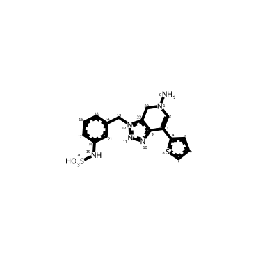 NN1C=C(c2cccs2)c2nnn(Cc3cccc(NS(=O)(=O)O)c3)c2C1